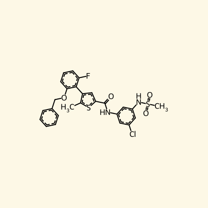 Cc1sc(C(=O)Nc2cc(Cl)cc(NS(C)(=O)=O)c2)cc1-c1c(F)cccc1OCc1ccccc1